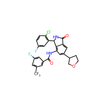 O=C(Nc1cc(C2CCOC2)cc2c1C(c1cc(F)ccc1Cl)NC2=O)c1cc(F)cc(C(F)(F)F)c1